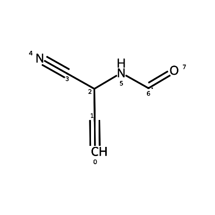 C#CC(C#N)N[C]=O